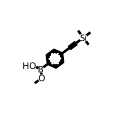 COB(O)c1ccc(C#C[Si](C)(C)C)cc1